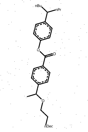 CCCCCCCCCCCCOC(C)c1ccc(C(=O)Oc2ccc(C(CCC)CCCC)cc2)cc1